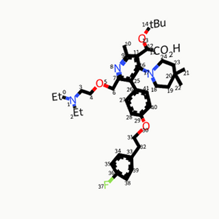 CCN(CC)CCOCc1nc(C)c(C(OC(C)(C)C)C(=O)O)c(N2CCC(C)(C)CC2)c1-c1ccc(OCCc2ccc(F)cc2)cc1